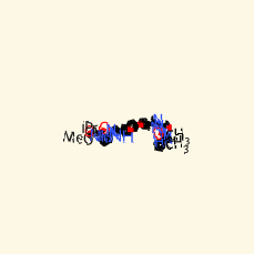 COC(=O)N[C@H](C(=O)N1CCC[C@H]1c1ncc(-c2ccc3cc(-c4ccc(-c5cnc(C6CCCN6C(=O)C(c6ccccc6)N(C)C)[nH]5)cc4)ccc3c2)[nH]1)C(C)C